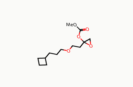 COC(=O)OC1(CCOCCCC2CCC2)CO1